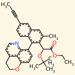 CC#Cc1ccc2c(-c3ccc4c5c(ccnc35)CCO4)c([C@H](OC(C)(C)C)C(=O)OCC)c(C)cc2c1